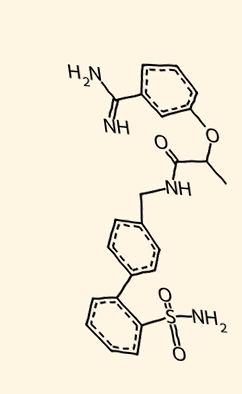 CC(Oc1cccc(C(=N)N)c1)C(=O)NCc1ccc(-c2ccccc2S(N)(=O)=O)cc1